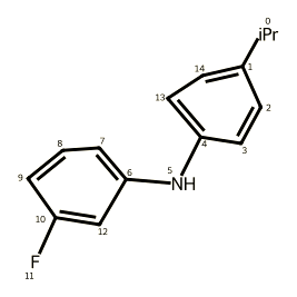 CC(C)c1ccc(Nc2cccc(F)c2)cc1